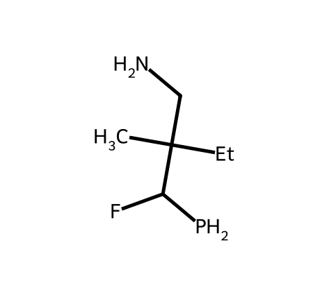 CCC(C)(CN)C(F)P